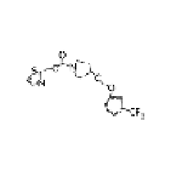 O=C(OCc1nccs1)N1CCC(CCOc2cccc(C(F)(F)F)c2)CC1